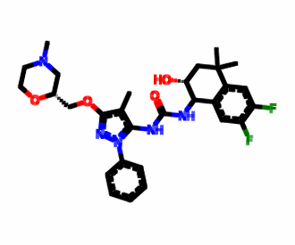 Cc1c(OC[C@H]2CN(C)CCO2)nn(-c2ccccc2)c1NC(=O)NC1c2cc(F)c(F)cc2C(C)(C)C[C@H]1O